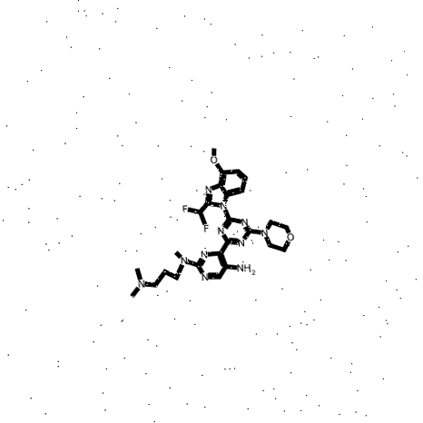 COc1cccc2c1nc(C(F)F)n2-c1nc(-c2nc(N(C)CCCN(C)C)ncc2N)nc(N2CCOCC2)n1